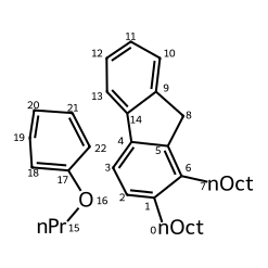 CCCCCCCCc1ccc2c(c1CCCCCCCC)Cc1ccccc1-2.CCCOc1ccccc1